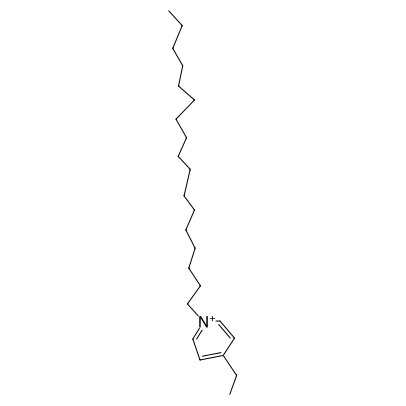 CCCCCCCCCCCCCCCCC[n+]1ccc(CC)cc1